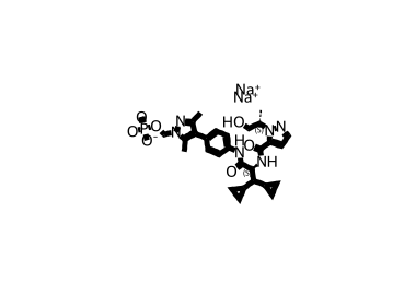 Cc1nn(COP(=O)([O-])[O-])c(C)c1-c1ccc(NC(=O)[C@@H](NC(=O)c2ccnn2[C@@H](C)CO)C(C2CC2)C2CC2)cc1.[Na+].[Na+]